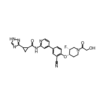 N#Cc1cc(-c2ccnc(NC(=O)C3CC3c3nc[nH]n3)c2)ccc1O[C@H]1CCN(C(=O)CO)C[C@H]1F